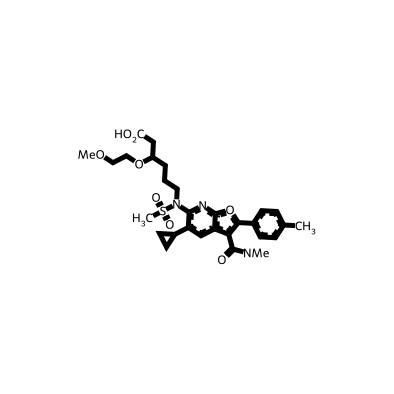 CNC(=O)c1c(-c2ccc(C)cc2)oc2nc(N(CCCC(CC(=O)O)OCCOC)S(C)(=O)=O)c(C3CC3)cc12